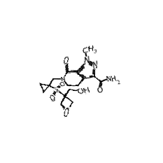 Cn1nc(C(N)=O)c2c1C(=O)N(CC1(S(=O)(=O)C3(CO)COC3)CC1)CC2